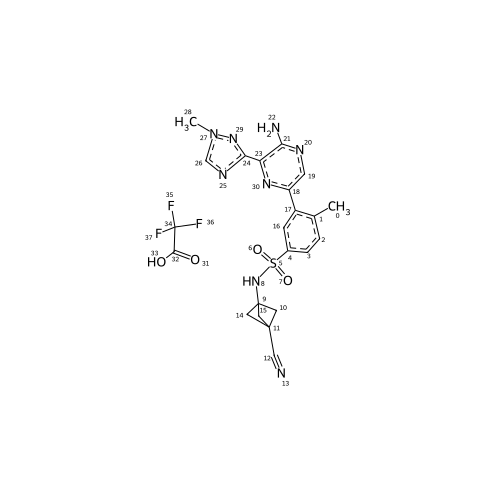 Cc1ccc(S(=O)(=O)NC23CC(C#N)(C2)C3)cc1-c1cnc(N)c(-c2ncn(C)n2)n1.O=C(O)C(F)(F)F